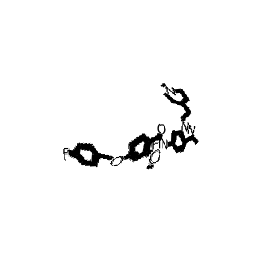 COc1cc(OCc2ccc(F)cc2)ccc1C(=O)Nc1ccc2c(C)nn(CCC3CCN(C)CC3)c2c1